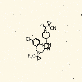 N#CC1(C(=O)N2CCC(c3nnc4n3-c3ccc(Cl)cc3CN(C3(C(F)(F)F)CC3)C4)CC2)CC1